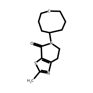 Cc1nc2c(s1)C(=O)N(C1CCCCCCC1)CC2